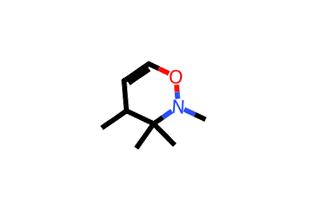 CC1C=CON(C)C1(C)C